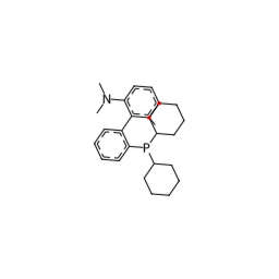 Cc1cccc(N(C)C)c1-c1ccccc1P(C1CCCCC1)C1CCCCC1